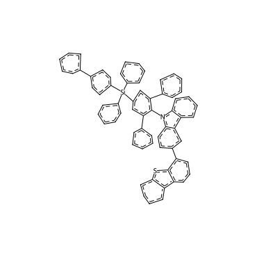 c1ccc(-c2ccc([Si](c3ccccc3)(c3ccccc3)c3cc(-c4ccccc4)c(-n4c5ccccc5c5cc(-c6cccc7c6sc6ccccc67)ccc54)c(-c4ccccc4)c3)cc2)cc1